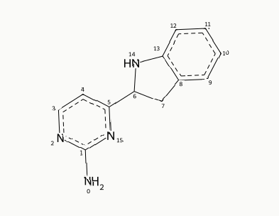 Nc1nccc(C2Cc3cc[c]cc3N2)n1